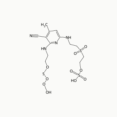 Cc1cc(NCCS(=O)(=O)CCOS(=O)(=O)O)nc(NCCOSOOO)c1C#N